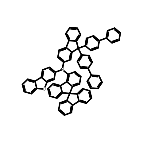 c1ccc(-c2ccc(C3(c4ccc(-c5ccccc5)cc4)c4ccccc4-c4ccc(N(c5ccc6c(c5)oc5ccccc56)c5cccc6c5-c5ccccc5C65c6ccccc6-c6ccccc65)cc43)cc2)cc1